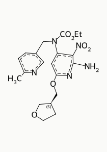 CCOC(=O)N(Cc1ccc(C)nc1)c1cc(OC[C@H]2CCOC2)nc(N)c1[N+](=O)[O-]